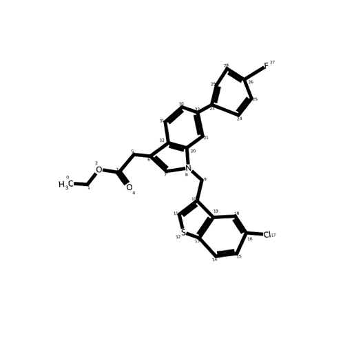 CCOC(=O)Cc1cn(Cc2csc3ccc(Cl)cc23)c2cc(-c3ccc(F)cc3)ccc12